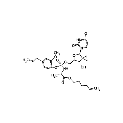 C=CCCCCOC(=O)[C@H](C)NP(=O)(OC[C@H]1O[C@@H](n2ccc(=O)[nH]c2=O)C2(CC2)[C@@H]1O)Oc1ccc(CC=C)cc1OC